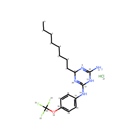 CCCCCCCCC1N=C(N)NC(Nc2ccc(OC(F)(F)F)cc2)=N1.Cl